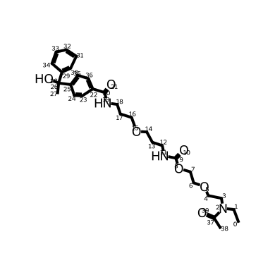 CCN(CCOCCOC(=O)NCCCOCCCNC(=O)c1ccc(C(C)(O)c2ccccc2)cc1)C(C)=O